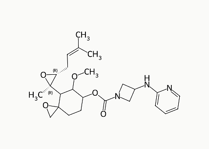 COC1C(OC(=O)N2CC(Nc3ccccn3)C2)CCC2(CO2)C1[C@@]1(C)O[C@@H]1CC=C(C)C